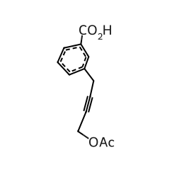 CC(=O)OCC#CCc1cccc(C(=O)O)c1